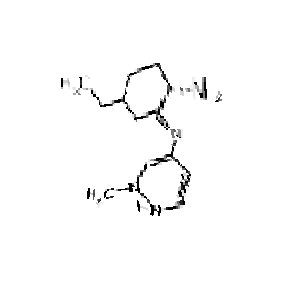 CCC1CC[C@H](N)C(=NC2=CN(C)NC=C2)C1